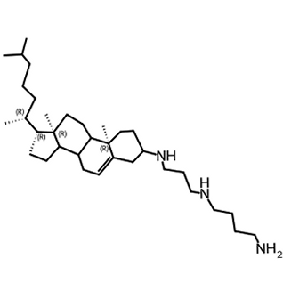 CC(C)CCC[C@@H](C)[C@H]1CCC2C3CC=C4CC(NCCCNCCCCN)CC[C@]4(C)C3CC[C@@]21C